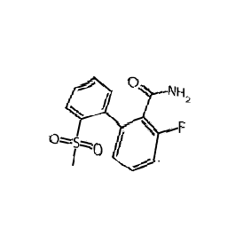 CS(=O)(=O)c1ccccc1-c1cc[c]c(F)c1C(N)=O